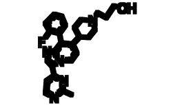 Cc1nccc(-c2cnc3c(-c4ccccc4F)c(C4CCN(CCCO)CC4)ccn23)n1